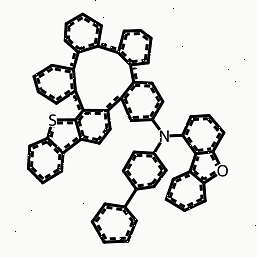 c1ccc(-c2ccc(N(c3ccc4c5ccccc5c5ccccc5c5ccccc5c5c(ccc6c7ccccc7sc65)c4c3)c3cccc4oc5ccccc5c34)cc2)cc1